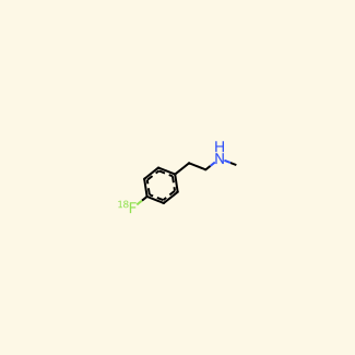 CNCCc1ccc([18F])cc1